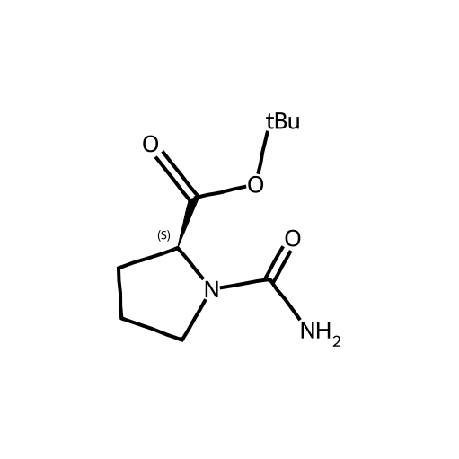 CC(C)(C)OC(=O)[C@@H]1CCCN1C(N)=O